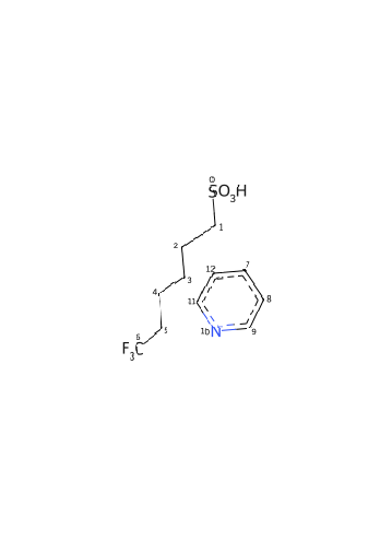 O=S(=O)(O)CCCCCC(F)(F)F.c1ccncc1